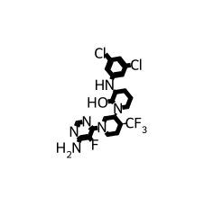 Nc1ncnc(N2CC[C@@H](C(F)(F)F)[C@H](N3CCC[C@H](Nc4cc(Cl)cc(Cl)c4)C3O)C2)c1F